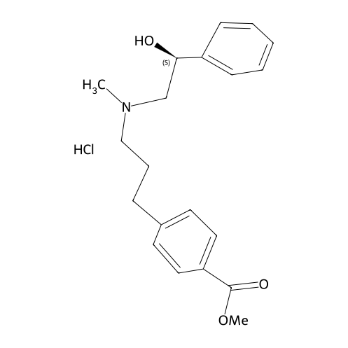 COC(=O)c1ccc(CCCN(C)C[C@@H](O)c2ccccc2)cc1.Cl